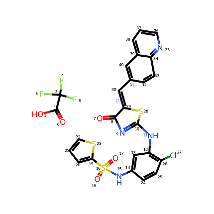 O=C(O)C(F)(F)F.O=C1N=C(Nc2cc(NS(=O)(=O)c3cccs3)ccc2Cl)S/C1=C\c1ccc2ncccc2c1